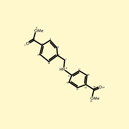 COC(=O)c1ccc(CNc2ccc(C(=O)OC)cc2)cc1